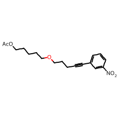 CC(=O)OCCCCCOCCCC#Cc1cccc([N+](=O)[O-])c1